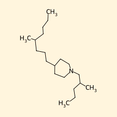 CCCCC(C)CCCC1CCN(CC(C)CCC)CC1